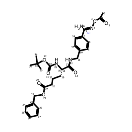 CC(=O)O/N=C(\N)c1ccc(CNC(=O)[C@H](CCCC(=O)OCc2ccccc2)NC(=O)OC(C)(C)C)cc1